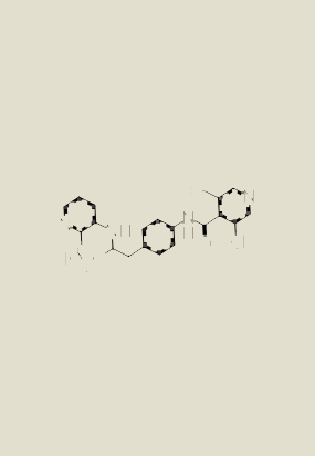 O=C(Nc1ccc(CC(Nc2cccnc2Cl)C(=O)O)cc1)c1c(Cl)cncc1Cl